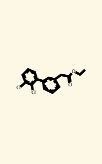 CCOC(=O)Cc1cccc(-c2cccc(Cl)c2Cl)c1